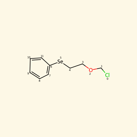 ClCOCC[Se]c1ccccc1